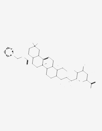 C[C@@H]1C2CC[C@]3(C)C(CC=C4C5CC(C)(C)CC[C@]5(C(=O)OCn5cccn5)CC[C@]43C)[C@@]2(C)CC[C@@H]1[C@@H](O)[C@@H]1OC(C(=O)O)[C@@H](O)C(O)C1O